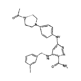 CC(=O)N1CCN(c2ccc(Nc3cc(NCc4cccc(I)c4)c(C(N)=O)nn3)cc2)CC1